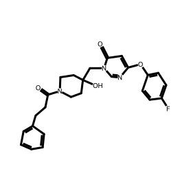 O=C(CCc1ccccc1)N1CCC(O)(Cn2cnc(Oc3ccc(F)cc3)cc2=O)CC1